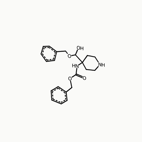 O=C(NC1(C(O)OCc2ccccc2)CCNCC1)OCc1ccccc1